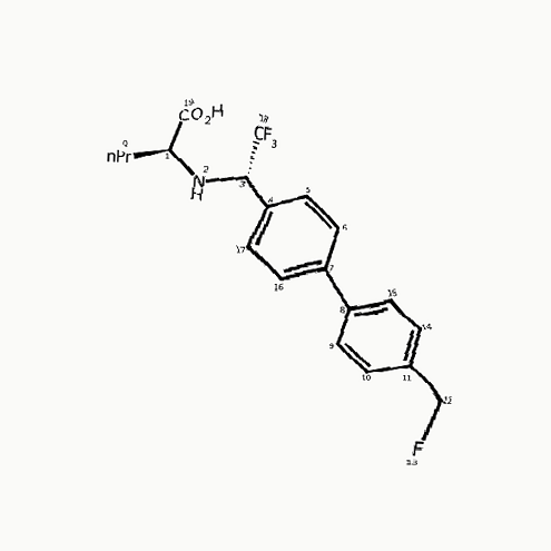 CCC[C@H](N[C@@H](c1ccc(-c2ccc(CF)cc2)cc1)C(F)(F)F)C(=O)O